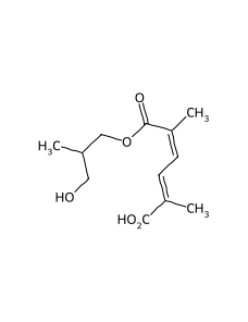 CC(=CC=C(C)C(=O)OCC(C)CO)C(=O)O